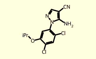 CC(C)Oc1cc(-n2ncc(C#N)c2N)c(Cl)cc1Cl